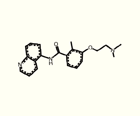 Cc1c(OCCN(C)C)cccc1C(=O)Nc1cccc2ncccc12